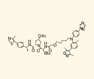 CC(=O)O[C@@H]1C[C@@H](C(=O)N[C@@H](C)c2ccc(-c3scnc3C)cc2)N(C(=O)[C@@H](NC(=O)COCCCCCN(c2ccc(-n3cncn3)cc2)c2cc(-c3c(C)noc3C)ccc2C)C(C)(C)C)C1